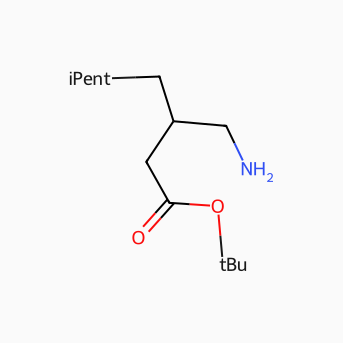 CCCC(C)CC(CN)CC(=O)OC(C)(C)C